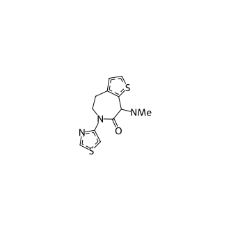 CNC1C(=O)N(c2cscn2)CCc2ccsc21